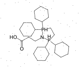 O=C(O)CCN1[PH](C2CCCCC2)(C2CCCCC2)CC[PH]1(C1CCCCC1)C1CCCCC1